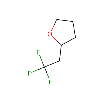 FC(F)(F)CC1CCCO1